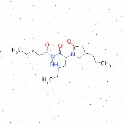 CCCCC(=O)N(N)C(=O)C(CCCC)N1CC(CCC)CC1=O